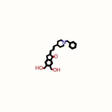 O=C1C(=CC=CC2CCN(Cc3ccccc3)CC2)Cc2cc(CO)c(CO)cc21